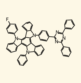 Fc1ccc(-n2c3ccccc3c3c4c(c5ccccc5n4-c4ccccc4)c4c(c5ccccc5n4-c4ccc(-c5nc(-c6ccccc6)nc(-c6ccccc6)n5)cc4)c32)cc1